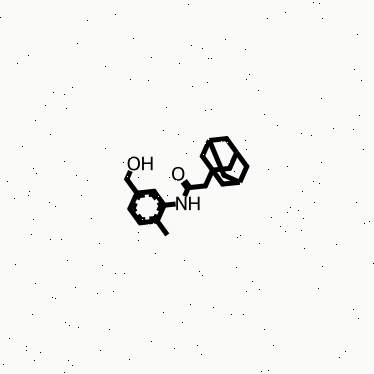 Cc1ccc(CO)cc1NC(=O)CC12CC3CC(CC(C3)C1)C2